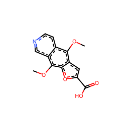 COc1c2ccncc2c(OC)c2oc(C(=O)O)cc12